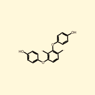 [CH2]c1ccc(Oc2ccc(O)cc2)c([CH2])c1Oc1ccc(O)cc1